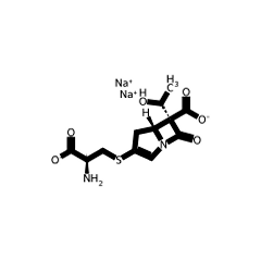 CC(O)[C@]1(C(=O)[O-])C(=O)N2C=C(SC[C@@H](N)C(=O)[O-])C[C@@H]21.[Na+].[Na+]